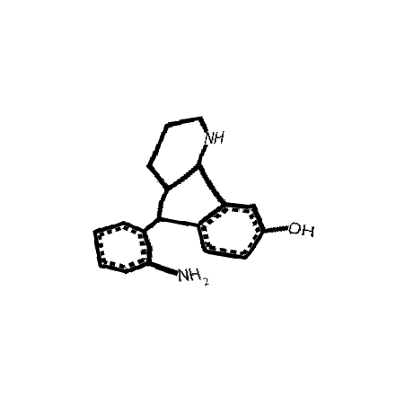 Nc1ccccc1C1c2ccc(O)cc2C2NCCCC21